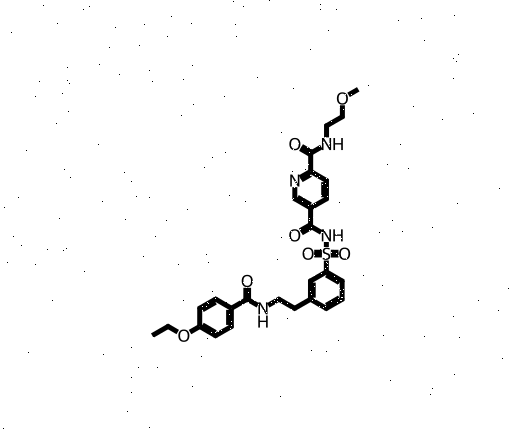 CCOc1ccc(C(=O)NCCc2cccc(S(=O)(=O)NC(=O)c3ccc(C(=O)NCCOC)nc3)c2)cc1